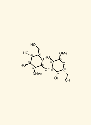 CO[C@H]1O[C@H](CO)[C@H](O)[C@H](O[C@@H]2O[C@H](CO)[C@@H](O)[C@H](O)[C@@H]2NC(C)=O)[C@H]1O